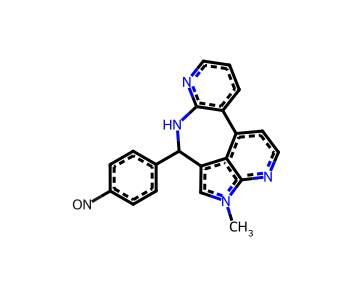 Cn1cc2c3c(ccnc31)-c1cccnc1NC2c1ccc(N=O)cc1